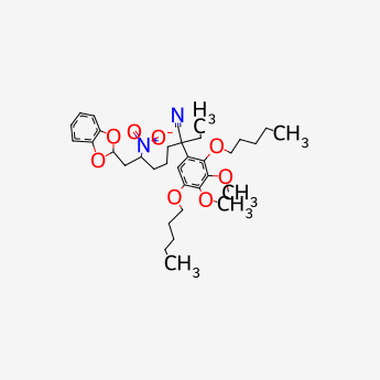 CCCCCOc1cc(C(C#N)(CC)CCCC(CC2Oc3ccccc3O2)[N+](=O)[O-])c(OCCCCC)c(OC)c1OC